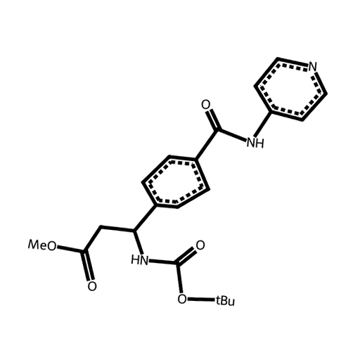 COC(=O)CC(NC(=O)OC(C)(C)C)c1ccc(C(=O)Nc2ccncc2)cc1